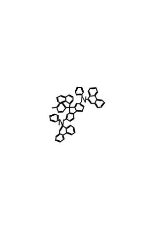 Cc1ccc(C2(c3cccc4ccccc34)c3cc(N(c4ccccc4)c4cc5ccccc5c5ccccc45)ccc3-c3ccc(N(c4ccccc4)c4cc5ccccc5c5ccccc45)cc32)cc1